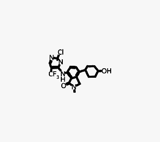 CN1Cc2c(C3CCC(O)CC3)ccc(Nc3nc(Cl)ncc3C(F)(F)F)c2C1=O